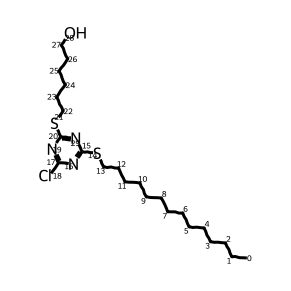 CCCCCCCCCCCCCCSc1nc(Cl)nc(SCCCCCCO)n1